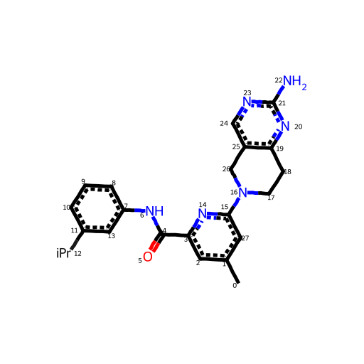 Cc1cc(C(=O)Nc2cccc(C(C)C)c2)nc(N2CCc3nc(N)ncc3C2)c1